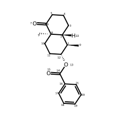 C[C@@H]1[C@H]2CCCC(=O)[C@]2(C)CC[C@H]1OC(=O)c1ccccc1